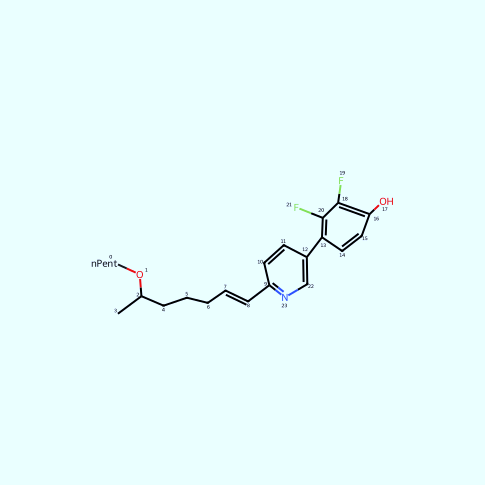 CCCCCOC(C)CCCC=Cc1ccc(-c2ccc(O)c(F)c2F)cn1